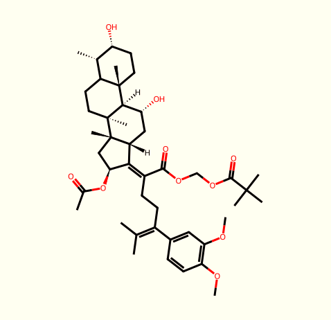 COc1ccc(C(CCC(C(=O)OCOC(=O)C(C)(C)C)=C2[C@@H](OC(C)=O)C[C@@]3(C)[C@@H]2C[C@@H](O)[C@@H]2[C@@]4(C)CC[C@@H](O)[C@@H](C)C4CC[C@@]23C)=C(C)C)cc1OC